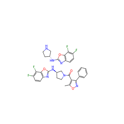 Cc1onc(-c2ccccc2)c1C(=O)N1CC[C@@H](Nc2nc3ccc(F)c(F)c3o2)C1.Fc1ccc2nc(N[C@@H]3CCNC3)oc2c1F